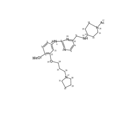 COc1ccc(Nc2nccc(CNC3CCN(C(C)=O)CC3)n2)cc1OCCCN1CCCC1